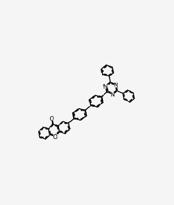 O=c1c2ccccc2oc2ccc(-c3ccc(-c4ccc(-c5nc(-c6ccccc6)nc(-c6ccccc6)n5)cc4)cc3)cc12